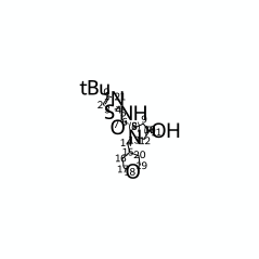 CC(C)(C)c1csc(NC(=O)[C@@H]2C[C@@H](O)CN2CC2CCOCC2)n1